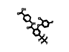 O=C(O)C1=CCC(NC(=O)c2ccc(C(F)(F)C(F)(F)F)cc2Oc2ccc(F)cc2Cl)C=C1